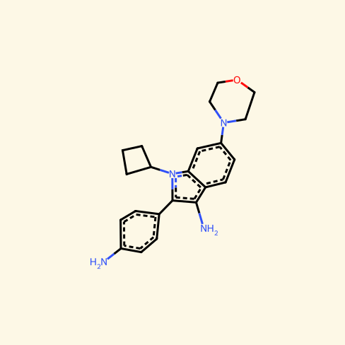 Nc1ccc(-c2c(N)c3ccc(N4CCOCC4)cc3n2C2CCC2)cc1